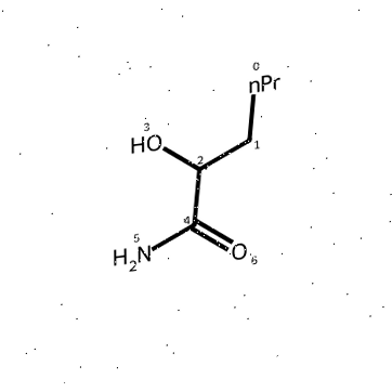 CCCC[C](O)C(N)=O